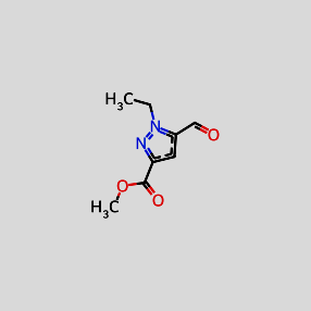 CCn1nc(C(=O)OC)cc1C=O